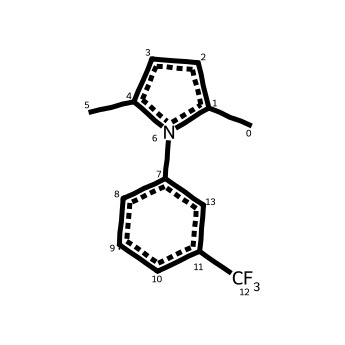 Cc1ccc(C)n1-c1c[c]cc(C(F)(F)F)c1